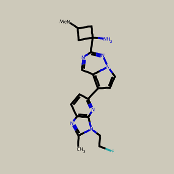 CNC1CC(N)(c2ncc3c(-c4ccc5nc(C)n(CCF)c5n4)ccn3n2)C1